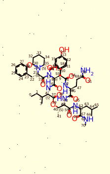 CCC(C)[C@H](NC(=O)[C@H](Cc1ccc(O)cc1)N(C)C(=O)[C@H](Cc1ccccc1)N1C(=O)CCC[C@@H]1O)C(=O)O[C@@H](C)[C@H](NC(=O)[C@H](CCC(N)=O)NC(=O)CC(C)C)C(=O)N[C@@H](CC(C)C)C(=O)NC